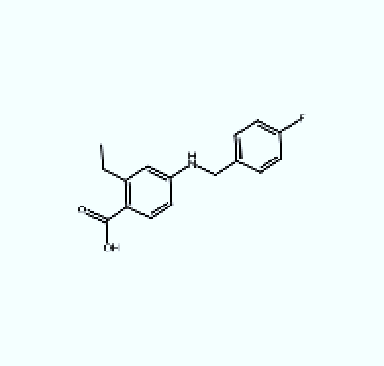 CCc1cc(NCc2ccc(F)cc2)ccc1C(=O)O